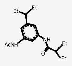 CCCC(CC)C(=O)Nc1cc(NC(C)=O)cc(C(CC)CC)c1